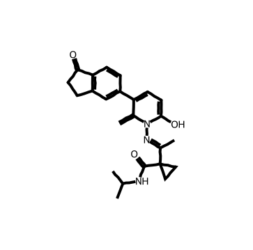 C=C1C(c2ccc3c(c2)CCC3=O)=CC=C(O)N1/N=C(\C)C1(C(=O)NC(C)C)CC1